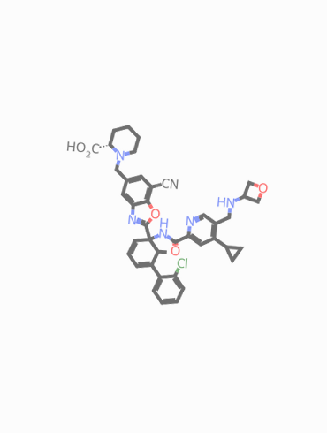 CC1C(c2ccccc2Cl)=CC=CC1(NC(=O)c1cc(C2CC2)c(CNC2COC2)cn1)c1nc2cc(CN3CCCC[C@H]3C(=O)O)cc(C#N)c2o1